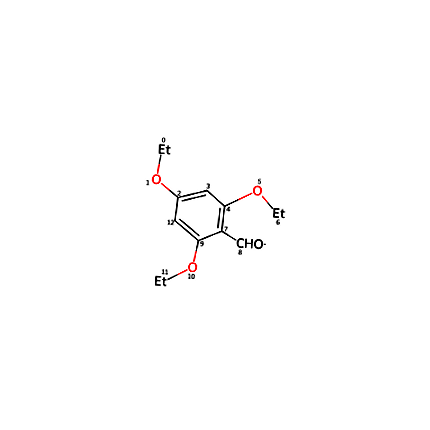 CCOc1cc(OCC)c([C]=O)c(OCC)c1